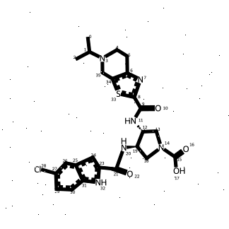 CC(C)N1CCc2nc(C(=O)N[C@@H]3CN(C(=O)O)C[C@H]3NC(=O)c3cc4cc(Cl)ccc4[nH]3)sc2C1